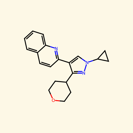 c1ccc2nc(-c3cn(C4CC4)nc3C3CCOCC3)ccc2c1